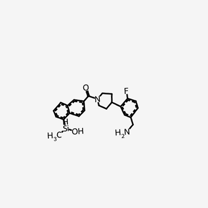 C[SiH](O)c1cccc2cc(C(=O)N3CCC(c4cc(CN)ccc4F)CC3)ccc12